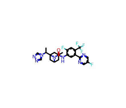 CC1CC2CC(C(C)n3cnnc3)(C1)N2C(=O)Nc1cc(-c2ncc(F)cn2)c(C(F)(F)F)cc1F